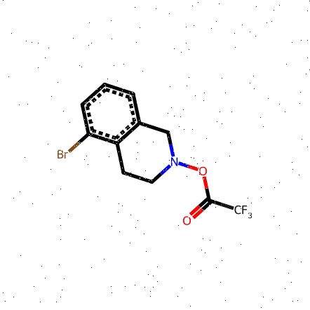 O=C(ON1CCc2c(Br)cccc2C1)C(F)(F)F